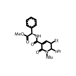 CCCCN1C(=O)C(C(=O)N[C@@H](C(=O)OC)c2ccccc2)=CC(CC)C1CCC